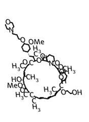 CO[C@@H]1C[C@H](C[C@@H](C)C2CC(=O)[C@H](C)/C=C(\C)[C@@H](O)[C@@H](OC)C(=O)[C@H](C)C[C@H](C)/C=C/C=C/C=C(\C)C(OCCO)C[C@@H]3CCC(C)[C@@](O)(O3)C(=O)C(=O)N3CCCC[C@H]3C(=O)O2)CC[C@H]1OCCCN1CCOCC1